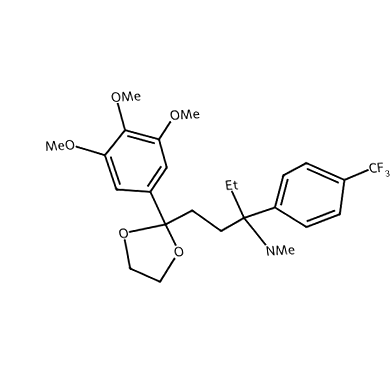 CCC(CCC1(c2cc(OC)c(OC)c(OC)c2)OCCO1)(NC)c1ccc(C(F)(F)F)cc1